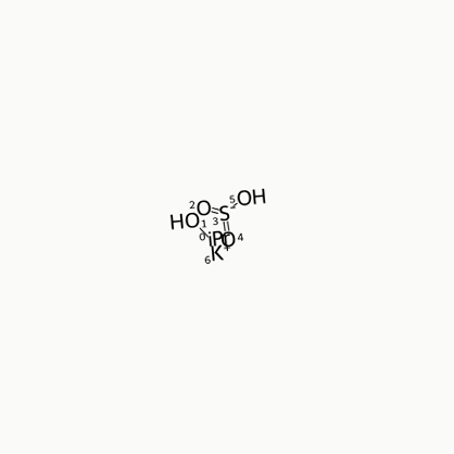 CC(C)O.O=[S-](=O)O.[K+]